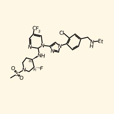 CCNCc1ccc(-n2cnc(N3C=C(C(F)(F)F)C=NC3N[C@@H]3CCN(S(C)(=O)=O)C[C@H]3F)c2)c(Cl)c1